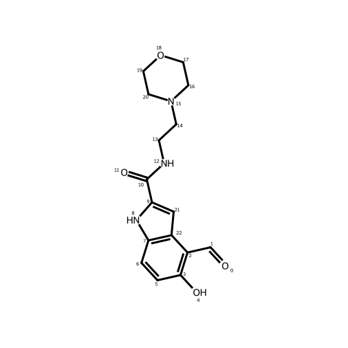 O=Cc1c(O)ccc2[nH]c(C(=O)NCCN3CCOCC3)cc12